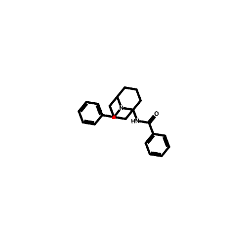 O=C(NC12CCCC(CCC1)N2Cc1ccccc1)c1ccccc1